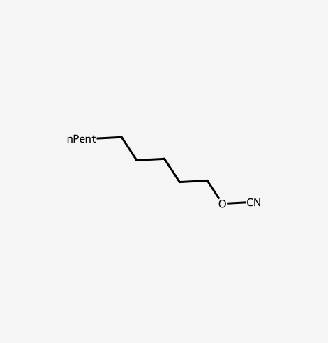 CCCCCCCCCCOC#N